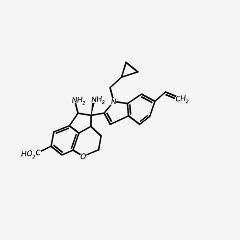 C=Cc1ccc2cc([C@@]3(N)C(N)c4cc(C(=O)O)cc5c4C3CCO5)n(CC3CC3)c2c1